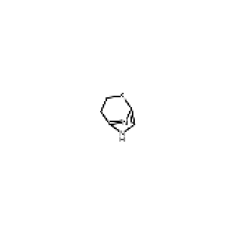 c1[nH]c2nc1SCC2